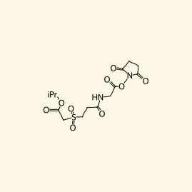 CC(C)OC(=O)CS(=O)(=O)CCC(=O)NCC(=O)ON1C(=O)CCC1=O